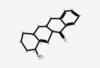 O=C1c2ccccc2CC2CC3CCCC([N+](=O)[O-])C3=CC12